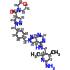 Cc1cc(N)nc(C)c1CNc1ncnc2nn(Cc3ccc(Cn4cc(C(=O)N5CCOCC5)cn4)cc3)cc12